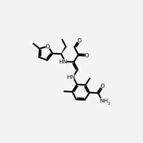 CC[C@@H](NC(=CNc1c(C)ccc(C(N)=O)c1C)C(=O)C=O)c1ccc(C)o1